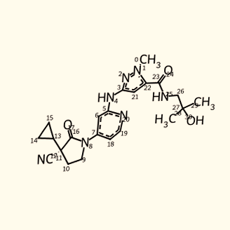 Cn1nc(Nc2cc(N3CC[C@@](C#N)(C4CC4)C3=O)ccn2)cc1C(=O)NCC(C)(C)O